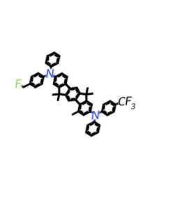 Cc1cc(N(c2ccccc2)c2ccc(C(F)(F)F)cc2)cc2c1-c1cc3c(cc1C2(C)C)-c1ccc(N(c2ccccc2)c2ccc(CF)cc2)cc1C3(C)C